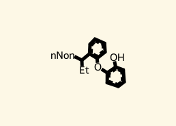 CCCCCCCCCC(CC)c1ccccc1Oc1ccccc1O